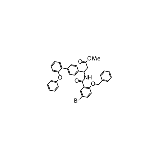 COC(=O)CC(NC(=O)c1cc(Br)ccc1OCc1ccccc1)c1ccc(-c2ccccc2Oc2ccccc2)cc1